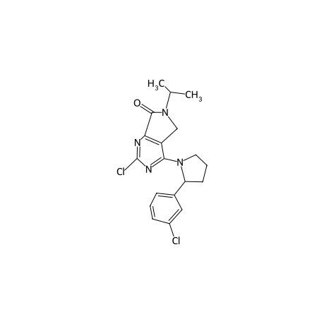 CC(C)N1Cc2c(nc(Cl)nc2N2CCCC2c2cccc(Cl)c2)C1=O